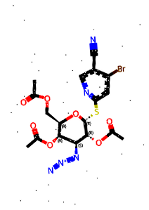 CC(=O)OC[C@H]1O[C@H](Sc2cc(Br)c(C#N)cn2)[C@H](OC(C)=O)[C@@H](N=[N+]=[N-])[C@H]1OC(C)=O